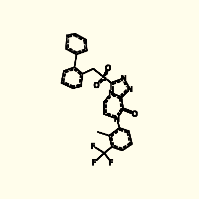 Cc1c(-n2ccn3c(S(=O)(=O)Cc4ccccc4-c4ccccc4)nnc3c2=O)cccc1C(F)(F)F